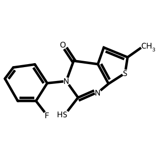 Cc1cc2c(=O)n(-c3ccccc3F)c(S)nc2s1